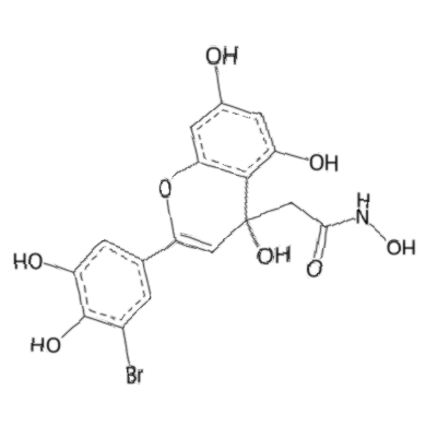 O=C(CC1(O)C=C(c2cc(O)c(O)c(Br)c2)Oc2cc(O)cc(O)c21)NO